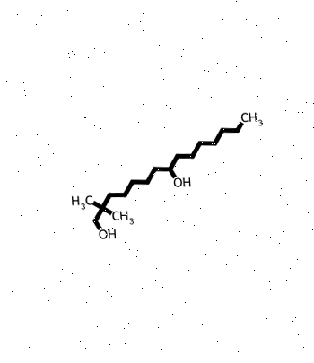 CCCCCCCC(O)CCCCCC(C)(C)CO